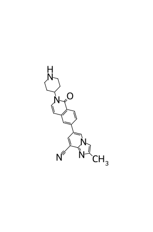 Cc1cn2cc(-c3ccc4c(=O)n(C5CCNCC5)ccc4c3)cc(C#N)c2n1